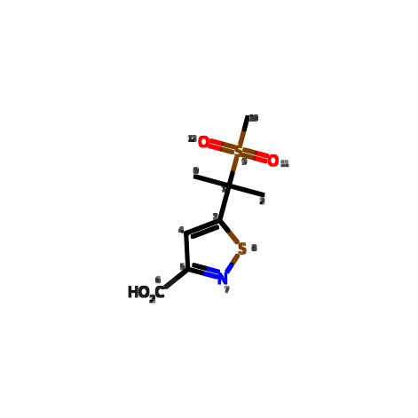 CC(C)(c1cc(C(=O)O)ns1)S(C)(=O)=O